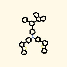 c1ccc(-c2cc(-c3ccc(N(c4ccc(-c5cccc6c5sc5ccccc56)cc4)c4ccc(-c5cccc6c5sc5ccccc56)cc4)cc3)cc(-c3cc4ccccc4c4ccccc34)c2)cc1